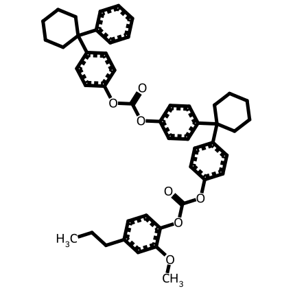 CCCc1ccc(OC(=O)Oc2ccc(C3(c4ccc(OC(=O)Oc5ccc(C6(c7ccccc7)CCCCC6)cc5)cc4)CCCCC3)cc2)c(OC)c1